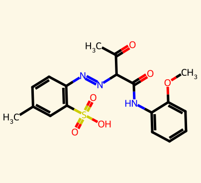 COc1ccccc1NC(=O)C(N=Nc1ccc(C)cc1S(=O)(=O)O)C(C)=O